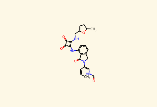 C/C=C\C(=C/NC=O)N1Cc2cccc(Nc3c(NCC4=CCC(C)O4)c(=O)c3=O)c2C1=O